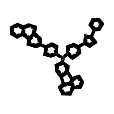 c1ccc(-c2ccc(-c3ccc(N(c4ccc(-c5ccc6c(ccc7ccccc76)c5)cc4)c4ccc5c(c4)-c4cccc6cccc-5c46)cc3)s2)cc1